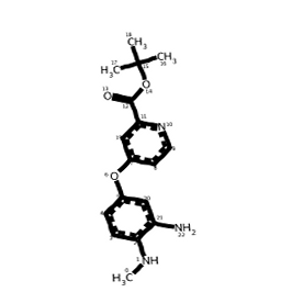 CNc1ccc(Oc2ccnc(C(=O)OC(C)(C)C)c2)cc1N